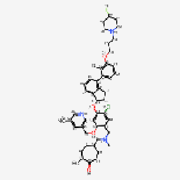 CCC1CCC(CN(C)Cc2cc(Cl)c(O[C@H]3CCc4c(-c5cccc(OCCCN6CCC(F)CC6)c5C)cccc43)cc2OCc2cncc(C#N)c2)CCC1=O